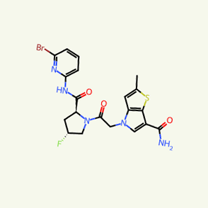 Cc1cc2c(s1)c(C(N)=O)cn2CC(=O)N1C[C@H](F)C[C@H]1C(=O)Nc1cccc(Br)n1